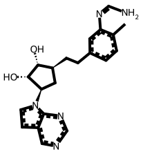 Cc1ccc(CC[C@H]2C[C@@H](n3ccc4cncnc43)[C@H](O)[C@@H]2O)cc1/N=C\N